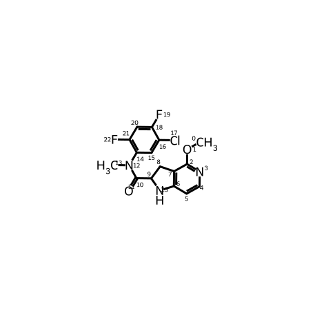 COc1nccc2c1CC(C(=O)N(C)c1cc(Cl)c(F)cc1F)N2